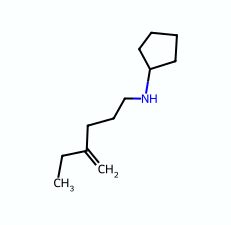 C=C(CC)CCCNC1CCCC1